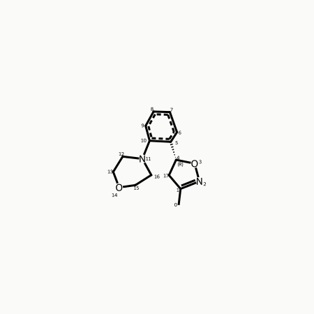 CC1=NO[C@@H](c2ccccc2N2CCOCC2)C1